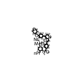 CCCC1CCNCC1N(C)C(=O)c1ccc(-c2cc3nccc(-c4ccc(OC5CCOCC5)c(C#N)c4)c3o2)c(OC)c1